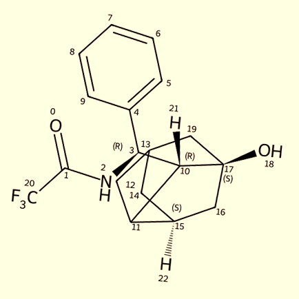 O=C(N[C@@H](c1ccccc1)[C@H]1C2CC3C[C@H]2C[C@@]1(O)C3)C(F)(F)F